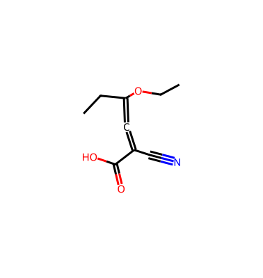 CCOC(=C=C(C#N)C(=O)O)CC